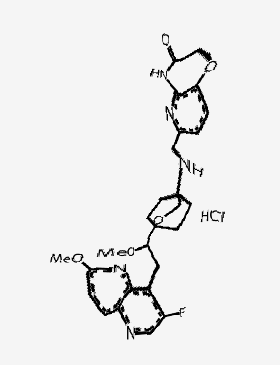 COc1ccc2ncc(F)c(CC(OC)C34CCC(NCc5ccc6c(n5)NC(=O)CO6)(CC3)CO4)c2n1.Cl